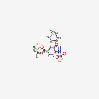 CCS(=O)(=O)Nc1ccc(B2OC(C)(C)C(C)(C)O2)cc1Oc1ccc(F)cc1